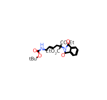 CCOC(=O)C(CC=CCNC(=O)OC(C)(C)C)(C(=O)OCC)N1C(=O)c2ccccc2C1=O